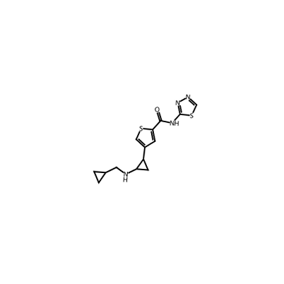 O=C(Nc1nncs1)c1cc(C2CC2NCC2CC2)cs1